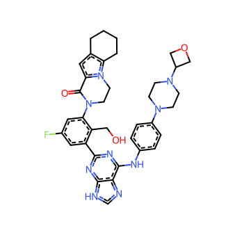 O=C1c2cc3c(n2CCN1c1cc(F)cc(-c2nc(Nc4ccc(N5CCN(C6COC6)CC5)cc4)c4nc[nH]c4n2)c1CO)CCCC3